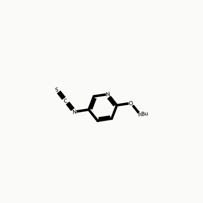 CCCCOc1ccc(N=C=S)cn1